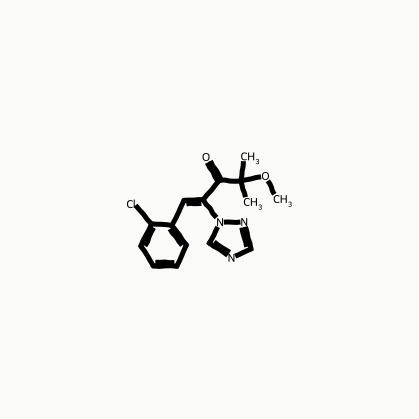 COC(C)(C)C(=O)C(=Cc1ccccc1Cl)n1cncn1